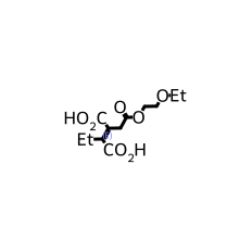 CCOCCOC(=O)C/C(C(=O)O)=C(/CC)C(=O)O